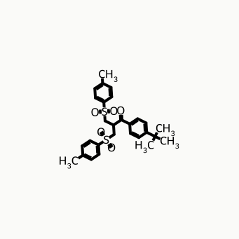 Cc1ccc(S(=O)(=O)CC(CS(=O)(=O)c2ccc(C)cc2)C(=O)c2ccc(C(C)(C)C)cc2)cc1